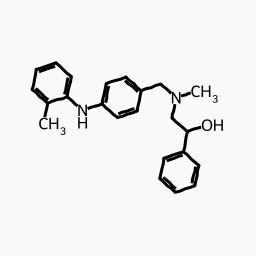 Cc1ccccc1Nc1ccc(CN(C)CC(O)c2ccccc2)cc1